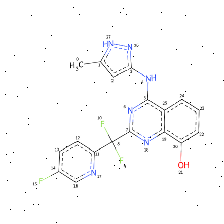 Cc1cc(Nc2nc(C(F)(F)c3ccc(F)cn3)nc3c(O)cccc23)n[nH]1